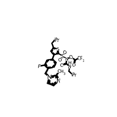 Cc1nccn1Cc1ccc(-c2cc(CC(C)C)sc2S(=O)(=O)N(OC(=O)C(F)(F)F)C(=O)NCC(C)C)cc1F